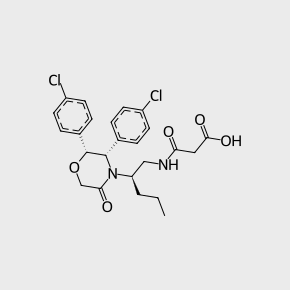 CCC[C@H](CNC(=O)CC(=O)O)N1C(=O)CO[C@H](c2ccc(Cl)cc2)[C@@H]1c1ccc(Cl)cc1